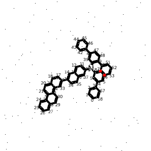 c1ccc(-c2cccc(N(c3ccc4cc(-c5ccc6ccc7c8ccccc8ccc7c6c5)ccc4c3)c3cc(-c4ccccc4)ccc3-c3ccccc3)c2)cc1